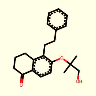 CC(C)(CO)Oc1ccc2c(c1CCc1ccccc1)CCCC2=O